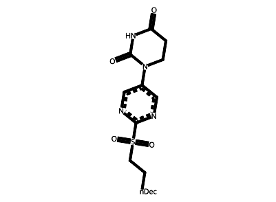 CCCCCCCCCCCCS(=O)(=O)c1ncc(N2CCC(=O)NC2=O)cn1